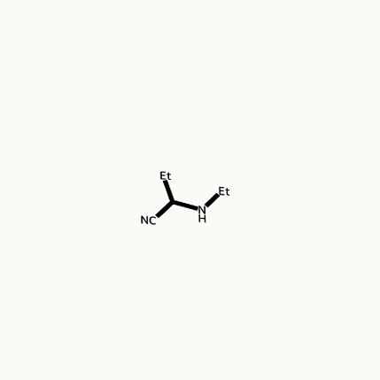 CCNC(C#N)CC